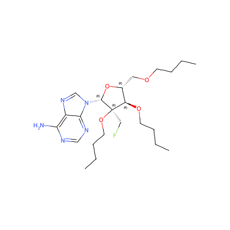 CCCCOC[C@H]1O[C@@H](n2cnc3c(N)ncnc32)[C@](CF)(OCCCC)[C@@H]1OCCCC